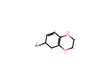 CC(C)C1C=CC2=C(C1)OCCO2